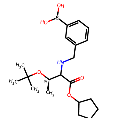 C[C@@H](OC(C)(C)C)C(NCc1cccc(B(O)O)c1)C(=O)OC1CCCC1